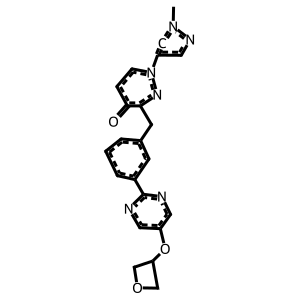 Cn1cc(-n2ccc(=O)c(Cc3cccc(-c4ncc(OC5COC5)cn4)c3)n2)cn1